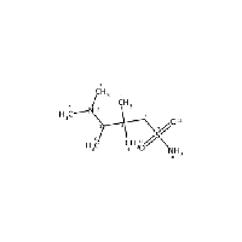 CC(N(C)C)C(C)(C)CS(N)(=O)=O